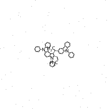 C=C(c1ccc2c(c1)c1ccccc1n2-c1ccccc1)c1c(/C=C\C)n(-c2ccccc2)c2ccc3c(c4ccccc4n3-c3ccccc3)c12